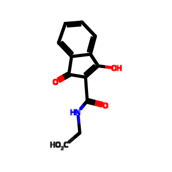 O=C(O)CNC(=O)C1=C(O)c2ccccc2C1=O